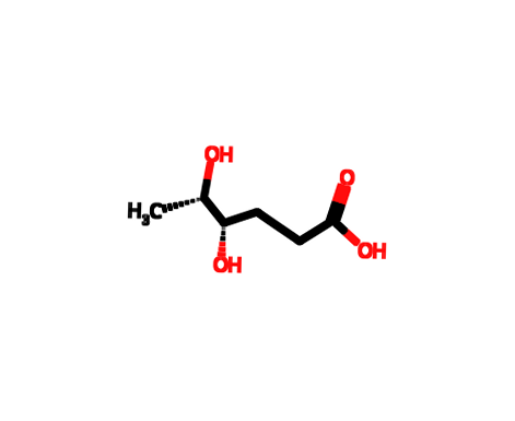 C[C@H](O)[C@@H](O)CCC(=O)O